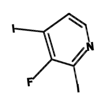 Fc1c(I)ccnc1I